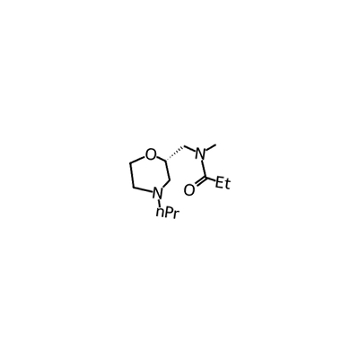 CCCN1CCO[C@H](CN(C)C(=O)CC)C1